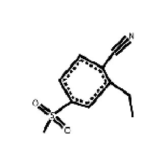 CCc1cc(S(C)(=O)=O)ccc1C#N